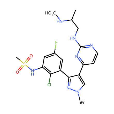 CC(CNc1nccc(-c2cn(C(C)C)nc2-c2cc(F)cc(NS(C)(=O)=O)c2Cl)n1)NC(=O)O